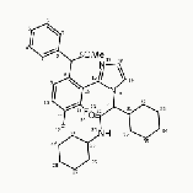 COC(c1ccccc1)c1ccc(F)c(F)c1-c1nccn1C(C(=O)NC1CCCCC1)C1CCCCC1